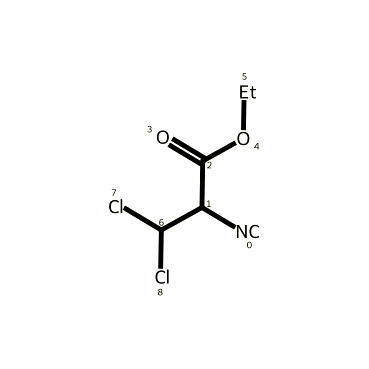 [C-]#[N+]C(C(=O)OCC)C(Cl)Cl